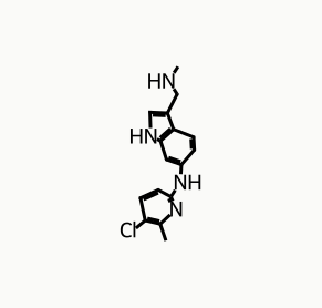 CNCc1c[nH]c2cc(Nc3ccc(Cl)c(C)n3)ccc12